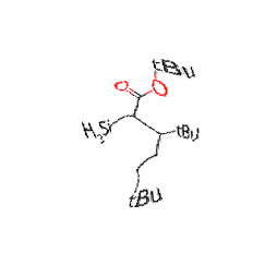 CC(C)(C)CCC(C([SiH3])C(=O)OC(C)(C)C)C(C)(C)C